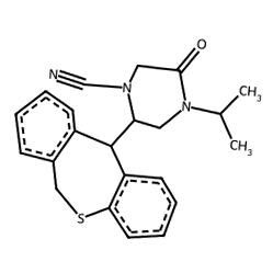 CC(C)N1CC(C2c3ccccc3CSc3ccccc32)N(C#N)CC1=O